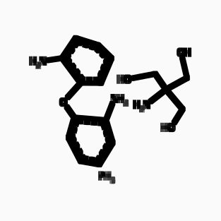 NC(CO)(CO)CO.Nc1ccccc1Oc1ccccc1N.P